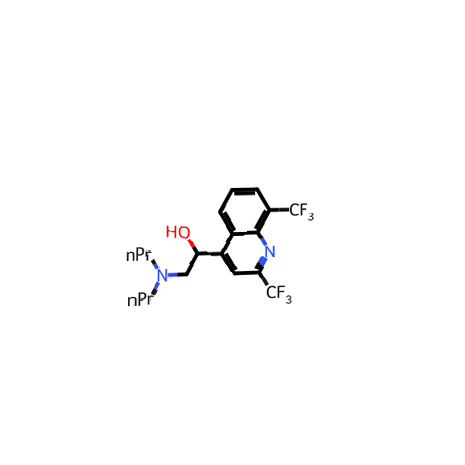 CCCN(CCC)CC(O)c1cc(C(F)(F)F)nc2c(C(F)(F)F)cccc12